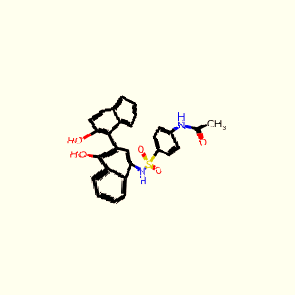 CC(=O)Nc1ccc(S(=O)(=O)Nc2cc(-c3c(O)ccc4ccccc34)c(O)c3ccccc23)cc1